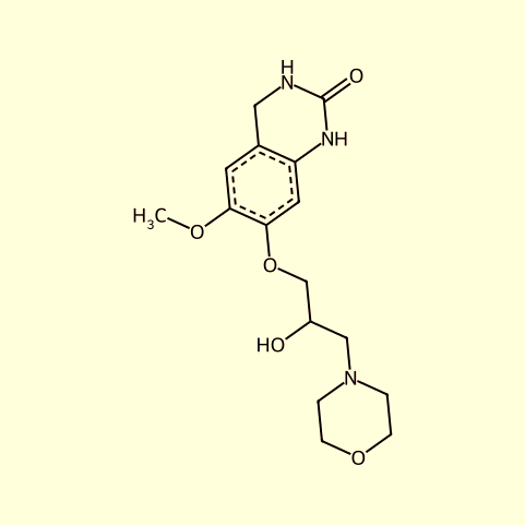 COc1cc2c(cc1OCC(O)CN1CCOCC1)NC(=O)NC2